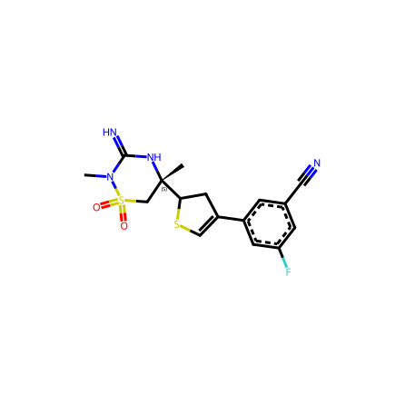 CN1C(=N)N[C@](C)(C2CC(c3cc(F)cc(C#N)c3)=CS2)CS1(=O)=O